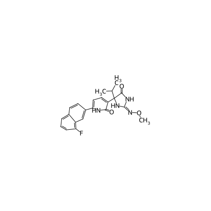 CO/N=C1\NC(=O)C(c2ccc(-c3ccc4cccc(F)c4c3)[nH]c2=O)(C(C)C)N1